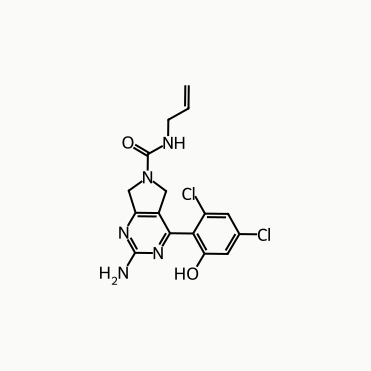 C=CCNC(=O)N1Cc2nc(N)nc(-c3c(O)cc(Cl)cc3Cl)c2C1